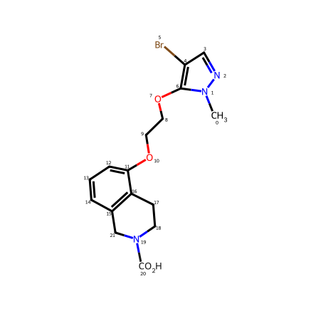 Cn1ncc(Br)c1OCCOc1cccc2c1CCN(C(=O)O)C2